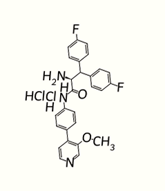 COc1cnccc1-c1ccc(NC(=O)[C@@H](N)C(c2ccc(F)cc2)c2ccc(F)cc2)cc1.Cl.Cl